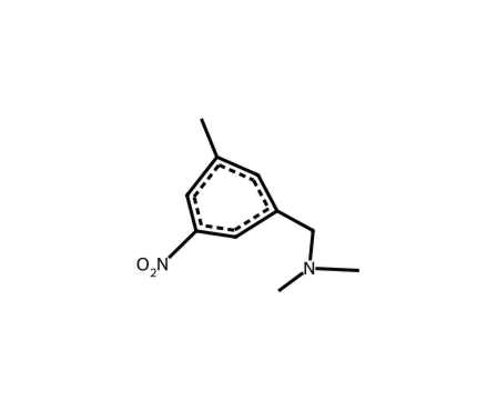 Cc1cc(CN(C)C)cc([N+](=O)[O-])c1